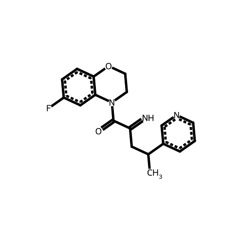 CC(CC(=N)C(=O)N1CCOc2ccc(F)cc21)c1cccnc1